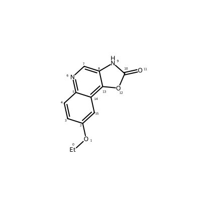 CCOc1ccc2ncc3[nH]c(=O)oc3c2c1